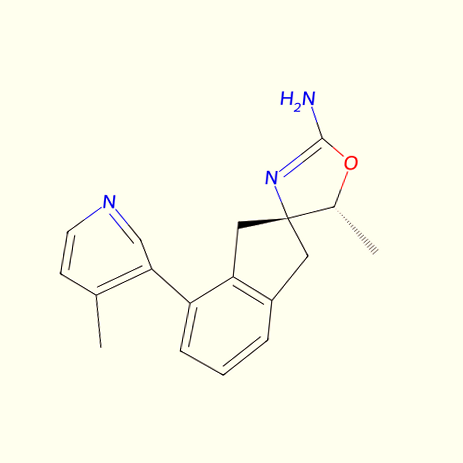 Cc1ccncc1-c1cccc2c1C[C@@]1(C2)N=C(N)O[C@@H]1C